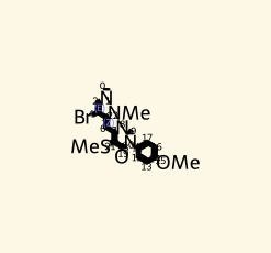 C=N/C=C(Br)\C(=C\c1ncn(-c2ccc(OC)cc2)c(=O)c1SC)NC